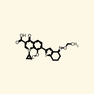 CCON=C1CCCc2sc(-c3ccc4c(=O)c(C(=O)O)cn(C5CC5)c4c3OC)cc21